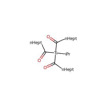 CCCCCCC[C](=O)[Ti]([C](=O)CCCCCCC)([C](=O)CCCCCCC)[CH](C)C